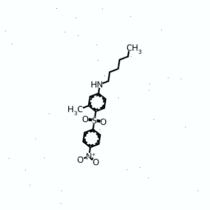 CCCCCCNc1ccc(S(=O)(=O)c2ccc([N+](=O)[O-])cc2)c(C)c1